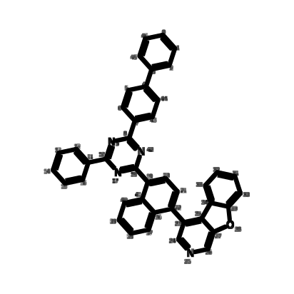 c1ccc(-c2ccc(-c3nc(-c4ccccc4)nc(-c4ccc(-c5cncc6oc7ccccc7c56)c5ccccc45)n3)cc2)cc1